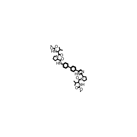 COC(=O)NC(C(=O)N1CCCC1C(=O)Nc1ccc(-c2ccc(-c3cnc(C4CCCN4C(=O)C(NC(=O)OC)C(C)C)[nH]3)cc2)cc1)C(C)C